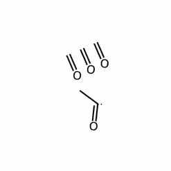 C=O.C=O.C=O.C[C]=O